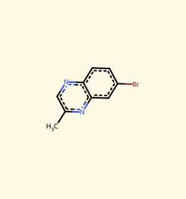 Cc1cnc2ccc(Br)cc2n1